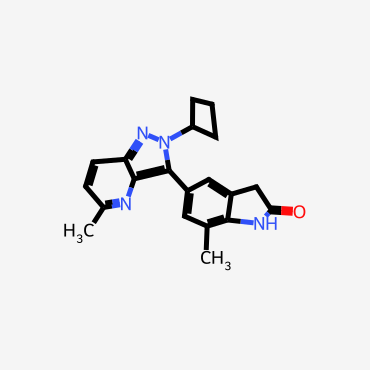 Cc1ccc2nn(C3CCC3)c(-c3cc(C)c4c(c3)CC(=O)N4)c2n1